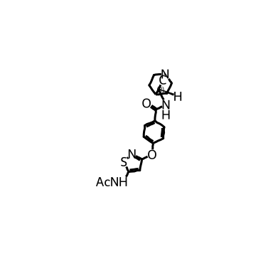 CC(=O)Nc1cc(Oc2ccc(C(=O)N[C@H]3CN4CCC3CC4)cc2)ns1